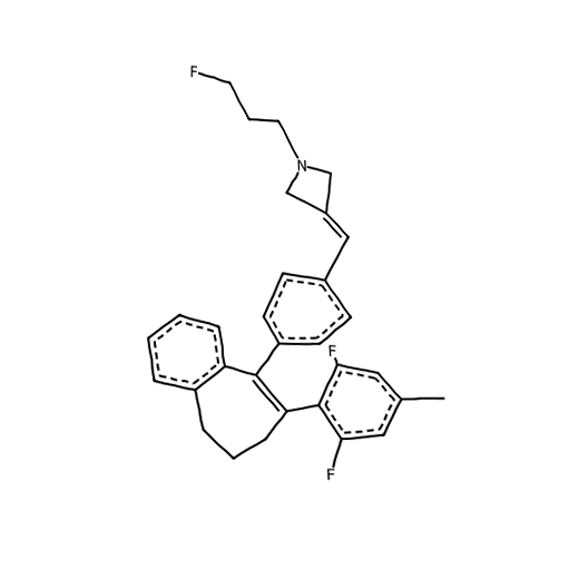 Cc1cc(F)c(C2=C(c3ccc(C=C4CN(CCCF)C4)cc3)c3ccccc3CCC2)c(F)c1